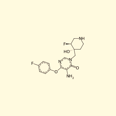 Nc1c(Oc2ccc(F)cc2)ncn(C[C@]2(O)CCNC[C@@H]2F)c1=O